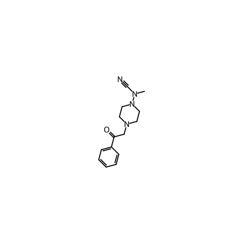 CN(C#N)N1CCN(CC(=O)c2ccccc2)CC1